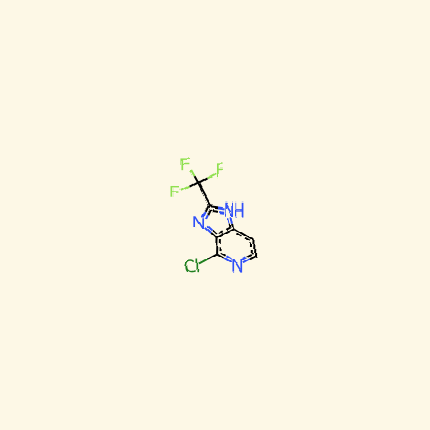 FC(F)(F)c1nc2c(Cl)nccc2[nH]1